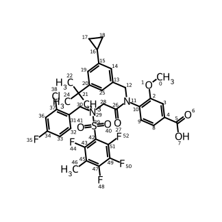 COc1cc(C(=O)O)ccc1N(Cc1cc(C2CC2)cc(C(C)(C)C)c1)C(=O)CN(Cc1ccc(F)cc1Cl)S(=O)(=O)c1c(F)c(C)c(F)c(F)c1F